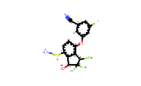 N#Cc1cc(F)cc(Oc2ccc(SN)c3c2C(F)C(F)(F)C3O)c1